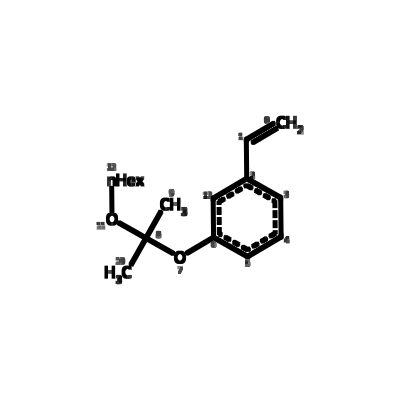 C=Cc1cccc(OC(C)(C)OCCCCCC)c1